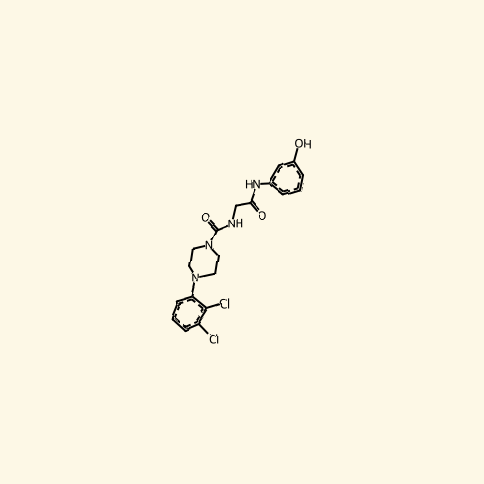 O=C(CNC(=O)N1CCN(c2cccc(Cl)c2Cl)CC1)Nc1cccc(O)c1